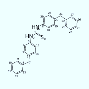 S=C(Nc1ccc(Cc2ccccc2)cc1)Nc1ccc(Cc2ccccc2)cc1